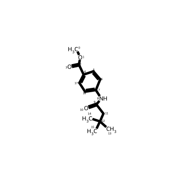 COC(=O)c1ccc(NC(=O)CC(C)(C)C)cc1